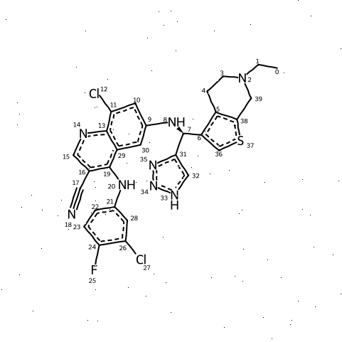 CCN1CCc2c([C@H](Nc3cc(Cl)c4ncc(C#N)c(Nc5ccc(F)c(Cl)c5)c4c3)c3c[nH]nn3)csc2C1